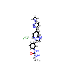 Cl.O=C(NCC(F)(F)F)Nc1cccc(-c2cnc3cc(-c4ccc(N5CCC5)nn4)ccn23)c1